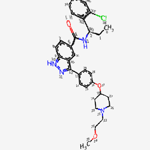 CC[C@@H](NC(=O)c1ccc2[nH]nc(-c3ccc(OC4CCN(CCOC)CC4)cc3)c2c1)c1ccccc1Cl